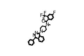 CN(C(=O)c1ccc(F)cc1C(F)(F)F)C1CCN(c2nnc(-c3ccccc3)c3ccccc23)CC1